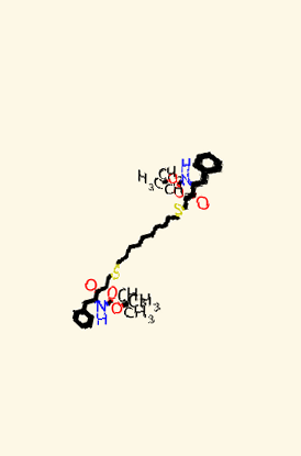 CC(C)(C)OC(=O)NC(Cc1ccccc1)C(=O)CCSCCCCCCCCCCSCCC(=O)C(Cc1ccccc1)NC(=O)OC(C)(C)C